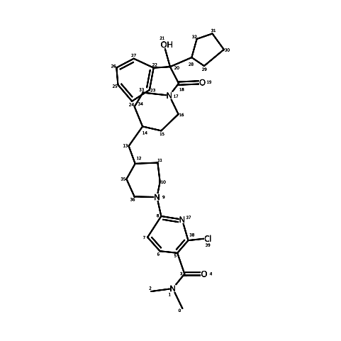 CN(C)C(=O)c1ccc(N2CCC(CC3CCN(C(=O)C(O)(c4ccccc4)C4CCCC4)CC3)CC2)nc1Cl